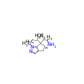 CC(C)C1(C(C)C)c2c(cnn2C)C[C@H]1N